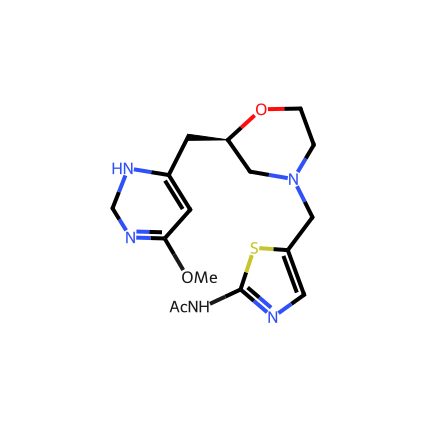 COC1=NCNC(C[C@@H]2CN(Cc3cnc(NC(C)=O)s3)CCO2)=C1